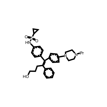 CC(C)N1CCN(c2ccc(/C(=C(/CCCO)c3ccccc3)c3ccc(NS(=O)(=O)C4CC4)cc3)cc2)CC1